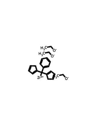 CC[O-].CC[O-].CC[O-].[Zr+3][C](C1=CC=CC1)(C1=CC=CC1)c1ccccc1